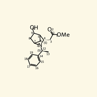 COC(=O)C[C@H]1C2CC(CC2O)N1[C@@H](C)c1ccccc1